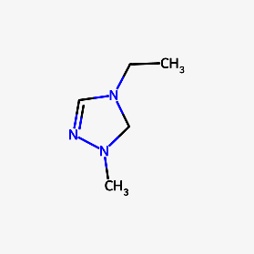 CCN1C=NN(C)C1